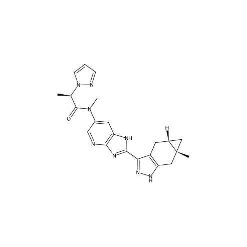 C[C@H](C(=O)N(C)c1cnc2nc(-c3n[nH]c4c3C[C@@H]3C[C@]3(C)C4)[nH]c2c1)n1cccn1